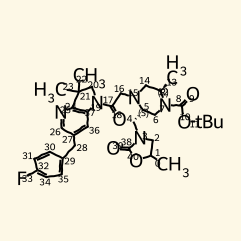 CC1CN(C[C@H]2CN(C(=O)OC(C)(C)C)[C@H](C)CN2CC(=O)N2CC(C)(C)c3ncc(Cc4ccc(F)cc4)cc32)C(=O)O1